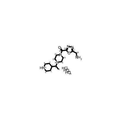 CC(C1CCNCC1)N1CCN(C(=O)c2nnc(CN)o2)CC1.Cl.Cl.Cl